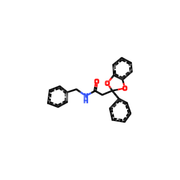 O=C(CC1(c2ccccc2)Oc2ccccc2O1)NCc1ccccc1